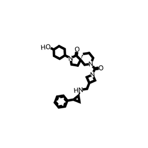 O=C(N1CC(CN[C@H]2CC2c2ccccc2)C1)N1CCC[C@@]2(CCN(C3CCC(O)CC3)C2=O)C1